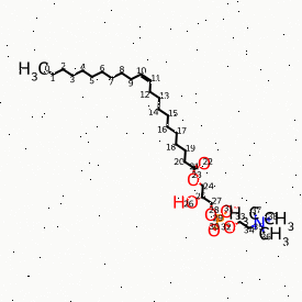 CCCCCCCCCC/C=C\CCCCCCCCCC(=O)OC[C@@H](O)COP(=O)([O-])OCC[N+](C)(C)C